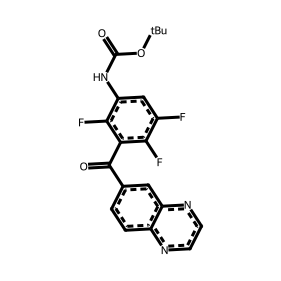 CC(C)(C)OC(=O)Nc1cc(F)c(F)c(C(=O)c2ccc3nccnc3c2)c1F